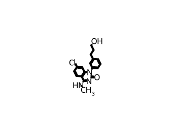 CNc1nc(=O)n(-c2cccc(CCCO)c2)c2cc(Cl)ccc12